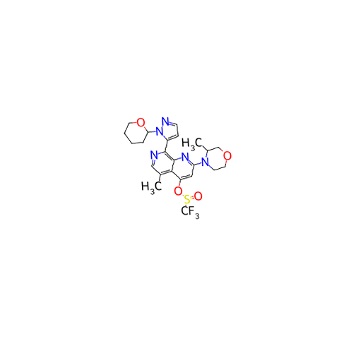 Cc1cnc(-c2ccnn2C2CCCCO2)c2nc(N3CCOCC3C)cc(OS(=O)C(F)(F)F)c12